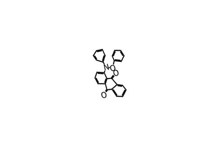 O=C1c2ccccc2C(=O)c2c1cccc2N(Oc1ccccc1)c1ccccc1